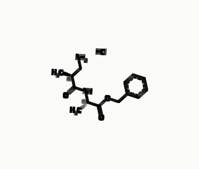 C[C@H](NC(=O)[C@@H](C)CN)C(=O)OCc1ccccc1.Cl